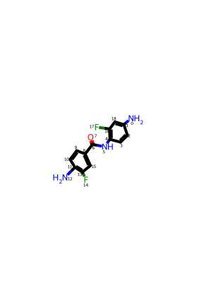 Nc1ccc(NC(=O)c2ccc(N)c(F)c2)c(F)c1